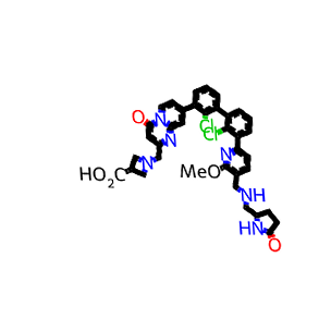 COc1nc(-c2cccc(-c3cccc(-c4ccn5c(=O)cc(CN6CC(C(=O)O)C6)nc5c4)c3Cl)c2Cl)ccc1CNCC1CCC(=O)N1